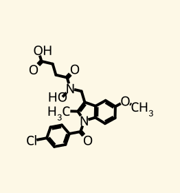 COc1ccc2c(c1)c(CN(O)C(=O)CCC(=O)O)c(C)n2C(=O)c1ccc(Cl)cc1